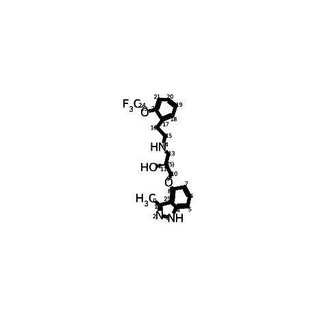 Cc1n[nH]c2cccc(OC[C@@H](O)CNCCc3ccccc3OC(F)(F)F)c12